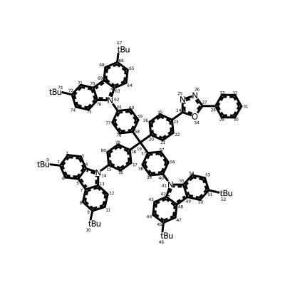 CC(C)(C)c1ccc2c(c1)c1cc(C(C)(C)C)ccc1n2-c1ccc(C(c2ccc(-c3nnc(-c4ccccc4)o3)cc2)(c2ccc(-n3c4ccc(C(C)(C)C)cc4c4cc(C(C)(C)C)ccc43)cc2)c2ccc(-n3c4ccc(C(C)(C)C)cc4c4cc(C(C)(C)C)ccc43)cc2)cc1